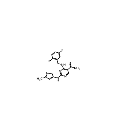 Cn1cc(Nc2ncc(C(N)=O)c(NCc3cc(F)ccc3F)n2)cn1